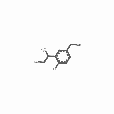 CCC(C)c1cc(CO)ccc1O